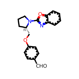 O=Cc1ccc(OC[C@@H]2CCCN2c2nc3ccccc3o2)cc1